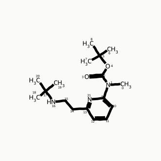 CN(C(=O)OC(C)(C)C)c1cccc(CCNC(C)(C)C)n1